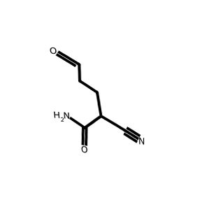 N#CC(CCC=O)C(N)=O